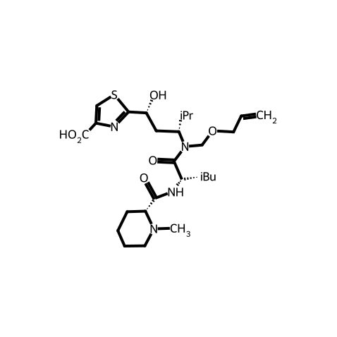 C=CCOCN(C(=O)[C@@H](NC(=O)[C@H]1CCCCN1C)[C@@H](C)CC)[C@H](C[C@@H](O)c1nc(C(=O)O)cs1)C(C)C